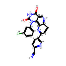 N#Cc1ccc(-c2ccc3ncc4c(=O)[nH]c(=O)n(-c5cccc(Cl)c5)c4c3n2)cn1